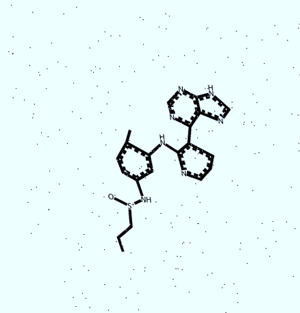 CCC[S+]([O-])Nc1ccc(C)c(Nc2ncccc2-c2ncnc3[nH]cnc23)c1